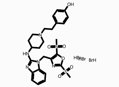 Br.Br.Br.CS(=O)(=O)c1nc(Cn2c(NC3CCN(CCc4ccc(O)cc4)CC3)nc3ccccc32)c(S(C)(=O)=O)o1